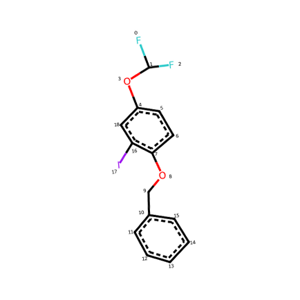 FC(F)Oc1ccc(OCc2ccccc2)c(I)c1